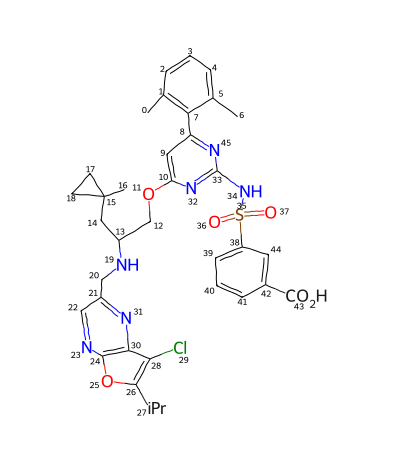 Cc1cccc(C)c1-c1cc(OCC(CC2(C)CC2)NCc2cnc3oc(C(C)C)c(Cl)c3n2)nc(NS(=O)(=O)c2cccc(C(=O)O)c2)n1